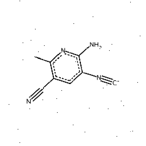 [C-]#[N+]c1cc(C#N)c(C)nc1N